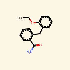 CCOc1ccccc1Cc1ccccc1C(N)=O